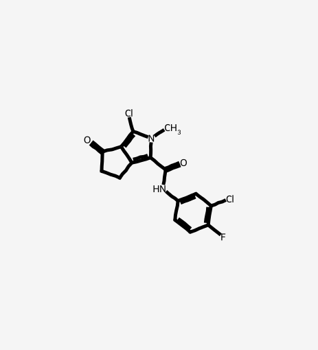 Cn1c(Cl)c2c(c1C(=O)Nc1ccc(F)c(Cl)c1)CCC2=O